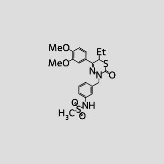 CCC1SC(=O)N(Cc2cccc(NS(C)(=O)=O)c2)N=C1c1ccc(OC)c(OC)c1